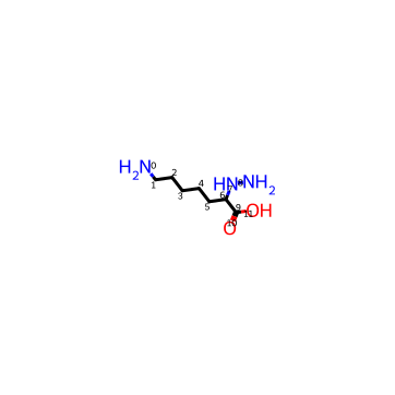 NCCCCCC(NN)C(=O)O